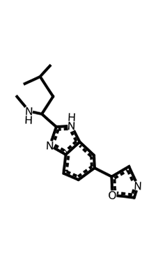 CNC(CC(C)C)c1nc2ccc(-c3cnco3)cc2[nH]1